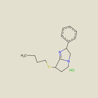 CCCCSC1CCN2CC(c3ccccc3)N=C12.Cl